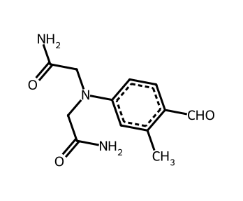 Cc1cc(N(CC(N)=O)CC(N)=O)ccc1C=O